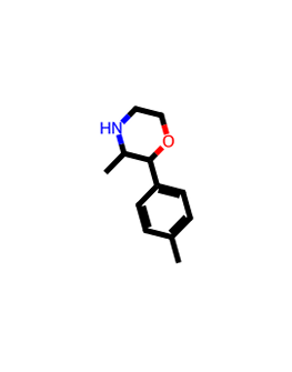 Cc1ccc(C2OCCNC2C)cc1